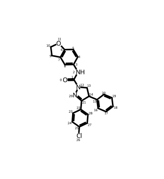 O=C(Nc1ccc2c(c1)CCO2)N1CC(c2ccccc2)C(c2ccc(Cl)cc2)=N1